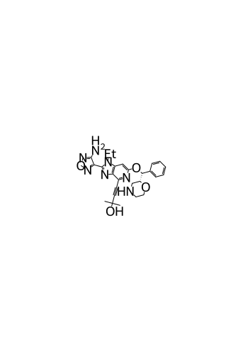 CCn1c(-c2nonc2N)nc2c(C#CC(C)(C)O)nc(OC(c3ccccc3)[C@H]3CNCCO3)cc21